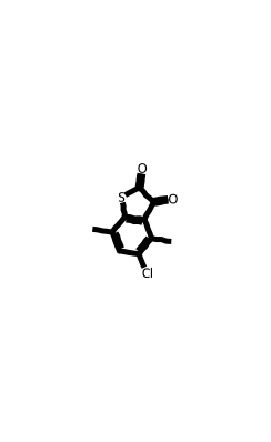 Cc1cc(Cl)c(C)c2c1SC(=O)C2=O